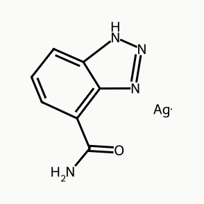 NC(=O)c1cccc2[nH]nnc12.[Ag]